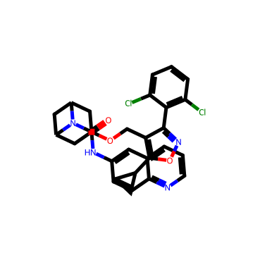 O=C(Nc1ccc2ncccc2c1)N1C2CC(OCc3c(-c4c(Cl)cccc4Cl)noc3C3CC3)CC1C2